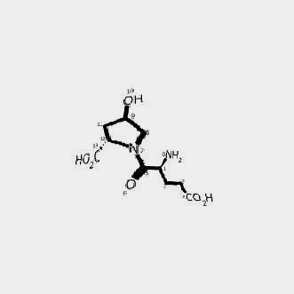 N[C@@H](CCC(=O)O)C(=O)N1CC(O)C[C@H]1C(=O)O